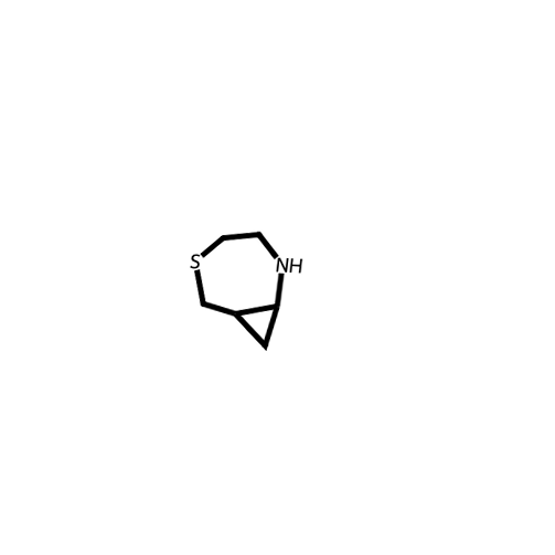 C1CSCC2CC2N1